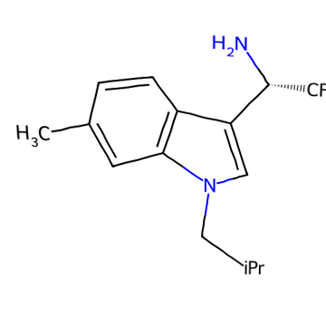 Cc1ccc2c([C@H](N)C(F)(F)F)cn(CC(C)C)c2c1